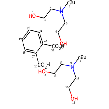 CCCCN(CCO)CCO.CCCCN(CCO)CCO.O=C(O)c1ccccc1C(=O)O